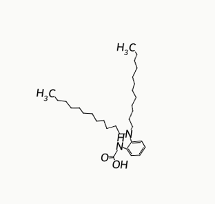 CCCCCCCCCCCCN(CCCCCCCCCCCC)c1ccccc1NC(=O)O